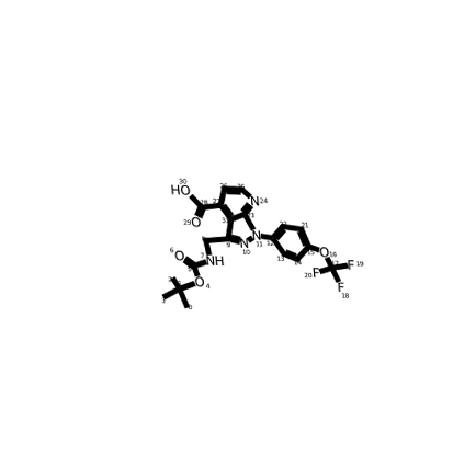 CC(C)(C)OC(=O)NCc1nn(-c2ccc(OC(F)(F)F)cc2)c2nccc(C(=O)O)c12